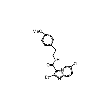 CCc1nc2ccc(Cl)cn2c1C(=O)NCCc1ccc(OC)cc1